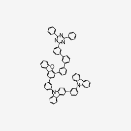 c1ccc(-c2nc(-c3ccccc3)nc(-c3cccc(-c4cccc(-c5cccc(-c6cc(-c7cccc(-n8c9ccccc9c9cc(-c%10cccc(-n%11c%12ccccc%12c%12ccccc%12%11)c%10)ccc98)c7)cc7c6oc6ccccc67)c5)c4)c3)n2)cc1